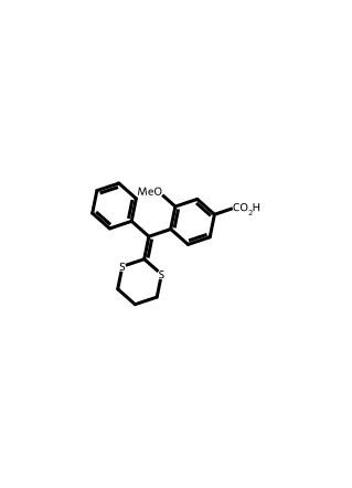 COc1cc(C(=O)O)ccc1C(=C1SCCCS1)c1ccccc1